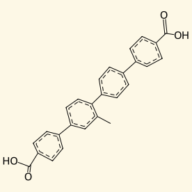 Cc1cc(-c2ccc(C(=O)O)cc2)ccc1-c1ccc(-c2ccc(C(=O)O)cc2)cc1